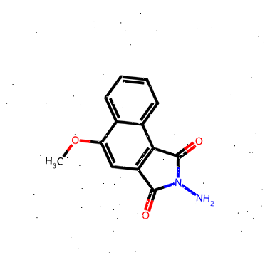 COc1cc2c(c3ccccc13)C(=O)N(N)C2=O